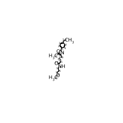 CCc1ccc(-c2nc(CSCC(=O)NCCCOC)c(C)o2)cc1